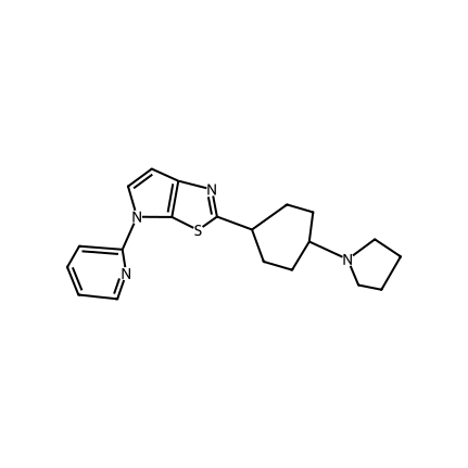 c1ccc(-n2ccc3nc(C4CCC(N5CCCC5)CC4)sc32)nc1